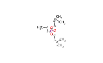 CCCP(=O)(OCCC(C)C)OCCC(C)C